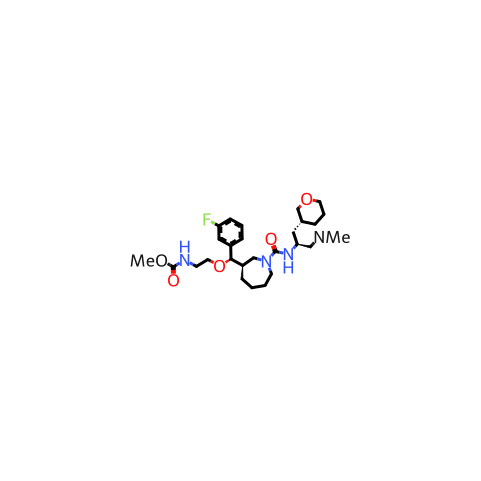 CNC[C@H](C[C@H]1CCCOC1)NC(=O)N1CCCC[C@@H]([C@@H](OCCNC(=O)OC)c2cccc(F)c2)C1